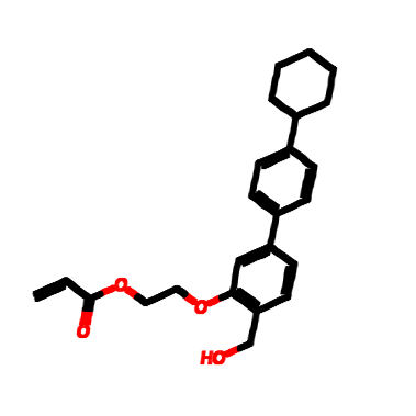 C=CC(=O)OCCOc1cc(-c2ccc(C3CCCCC3)cc2)ccc1CO